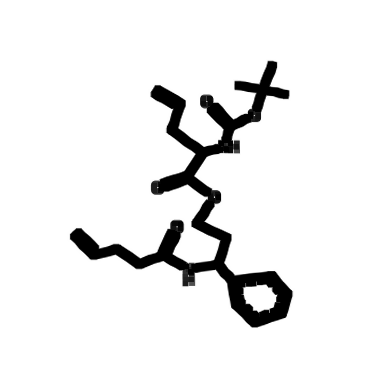 C=CCCC(=O)NC(CCOC(=O)C(CC=C)NC(=O)OC(C)(C)C)c1ccccc1